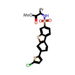 COC(=O)C(NS(=O)(=O)c1ccc2c(c1)sc1cc(-c3ccc(Cl)s3)ccc12)C(C)C